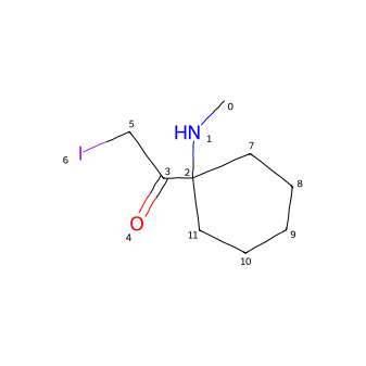 CNC1(C(=O)CI)CCCCC1